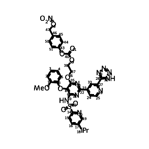 COc1ccccc1Oc1c(NS(=O)(=O)c2ccc(C(C)C)cn2)nc(-c2ccnc(-c3nnn[nH]3)c2)nc1OCCOC(=O)Oc1ccc(CO[N+](=O)[O-])cc1